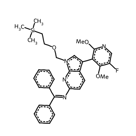 COc1ncc(F)c(OC)c1-c1cn(COCC[Si](C)(C)C)c2nc(N=C(c3ccccc3)c3ccccc3)ccc12